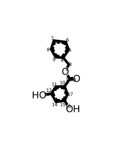 O=C(OCc1ccccc1)c1cc(O)cc(O)c1